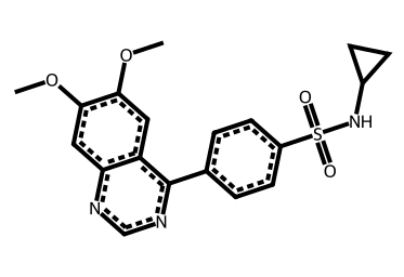 COc1cc2ncnc(-c3ccc(S(=O)(=O)NC4CC4)cc3)c2cc1OC